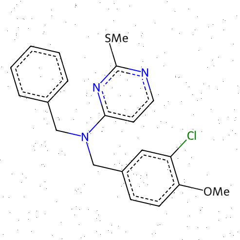 COc1ccc(CN(Cc2ccccc2)c2ccnc(SC)n2)cc1Cl